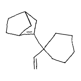 C=CC1(C2=C3CCC(C3)C2)CCCCC1